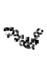 COc1ccc(NC(=O)c2ccc(C)c(Nc3ncnc4cnc(N5CCN6CCCCC6C5)nc34)c2)cc1C(F)(F)F